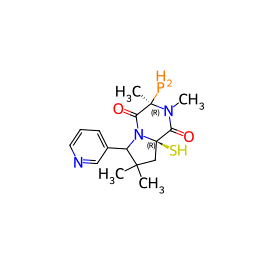 CN1C(=O)[C@]2(S)CC(C)(C)C(c3cccnc3)N2C(=O)[C@@]1(C)P